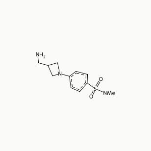 CNS(=O)(=O)c1ccc(N2CC(CN)C2)cc1